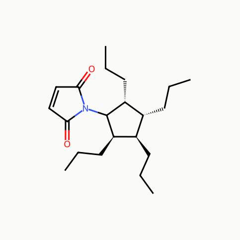 CCC[C@@H]1[C@@H](CCC)[C@@H](CCC)C(N2C(=O)C=CC2=O)[C@@H]1CCC